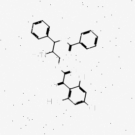 Cc1cc(C)c(C(=O)C(=O)OCC(N)C(OC(=O)c2ccccc2)c2ccccc2)c(C)c1